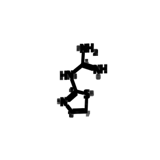 N=C(N)Nc1n[c]cs1